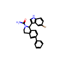 NC(=O)N1CCc2cc(-c3ccccc3)ccc2C1c1c[nH]c2ccc(Br)cc12